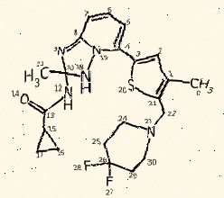 Cc1cc(C2=CC=CC3=NC(C)(NC(=O)C4CC4)NN23)sc1CN1CCC(F)(F)CC1